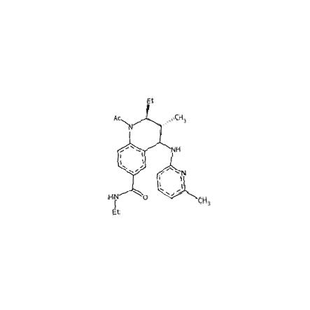 CCNC(=O)c1ccc2c(c1)C(Nc1cccc(C)n1)[C@@H](C)[C@H](CC)N2C(C)=O